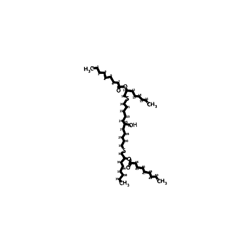 CCCCCCCCC(=O)OC(CCCCCC)CSCCCCCC(O)CCCCCSCC(CCCCCC)OC(=O)CCCCCCCC